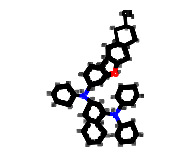 CC1C=Cc2cc3oc4cc(N(c5ccccc5)c5cc(N(c6ccccc6)c6ccccc6)c6ccccc6c5)ccc4c3cc2C1